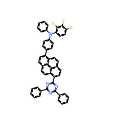 Fc1ccc(N(c2ccccc2)c2ccc(-c3ccc4ccc5c(-c6nc(-c7ccccc7)nc(-c7ccccc7)n6)ccc6ccc3c4c65)cc2)c(F)c1F